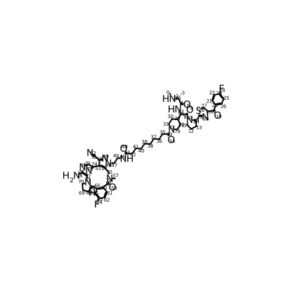 CN[C@H](C)C(=O)N[C@@H](C(=O)N1CCC[C@@H]1C1=NC(C(=O)c2ccc(F)cc2)CS1)C1CCN(C(=O)CCCCCCCCC(=O)NCCn2nc(C#N)c3c2CN(C)C(=O)c2ccc(F)cc2[C@H]2CCCN2c2nc-3cnc2N)CC1